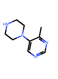 Cc1n[c]ncc1N1CCNCC1